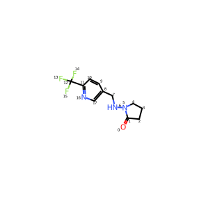 O=C1CCCN1NCc1ccc(C(F)(F)F)nc1